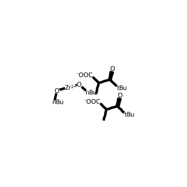 CC(C(=O)[O-])C(=O)C(C)(C)C.CC(C(=O)[O-])C(=O)C(C)(C)C.CCCC[O][Zr+2][O]CCCC